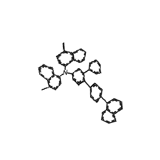 Cc1ccc(N(c2ccc(-c3ccc(-c4cccc5ccccc45)cc3)c(-c3ccccc3)c2)c2ccc(C)c3ccccc23)c2ccccc12